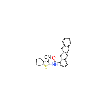 N#Cc1c(NC(=O)c2cccc3cc4cc5ccccc5cc4cc23)sc2c1CCCC2